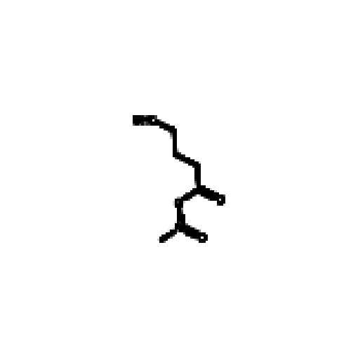 C[AsH](=O)OC(=O)CCCC=O